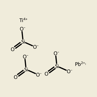 O=[Si]([O-])[O-].O=[Si]([O-])[O-].O=[Si]([O-])[O-].[Pb+2].[Ti+4]